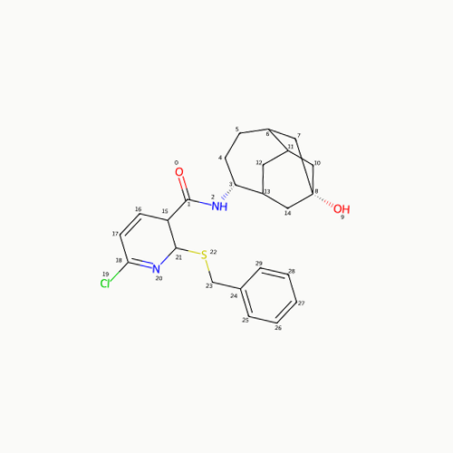 O=C(N[C@@H]1CCC2C[C@@]3(O)CC2CC1C3)C1C=CC(Cl)=NC1SCc1ccccc1